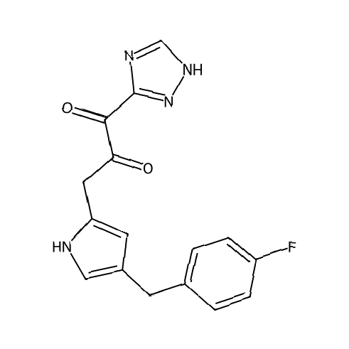 O=C(Cc1cc(Cc2ccc(F)cc2)c[nH]1)C(=O)c1nc[nH]n1